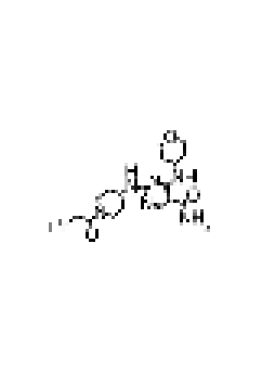 CC(C)CC(=O)N1CCC(Nc2ncc(C(N)=O)c(NC3CCOCC3)n2)CC1